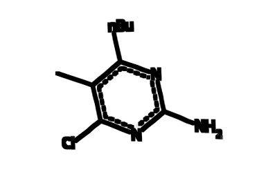 CCCCc1nc(N)nc(Cl)c1C